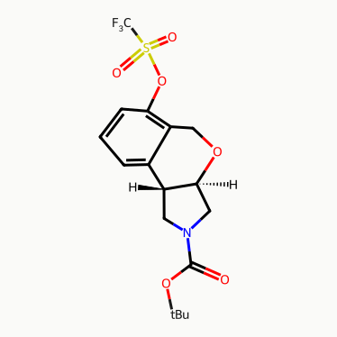 CC(C)(C)OC(=O)N1C[C@@H]2OCc3c(OS(=O)(=O)C(F)(F)F)cccc3[C@H]2C1